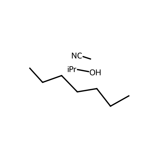 CC#N.CC(C)O.CCCCCCC